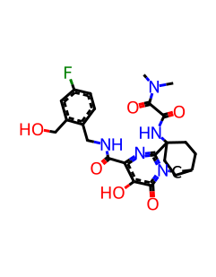 CN(C)C(=O)C(=O)NC12CCC(CC1)Cn1c2nc(C(=O)NCc2ccc(F)cc2CO)c(O)c1=O